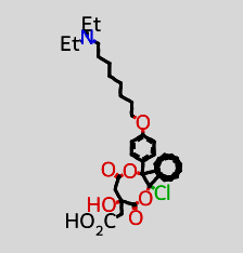 CCN(CC)CCCCCCCCOc1ccc(C2(c3ccccc3)OC(=O)CC(O)(CC(=O)O)C(=O)OC2(Cl)c2ccccc2)cc1